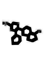 N#Cc1cccc2cc(-c3ncc(N)nc3-c3ccccc3)ccc12